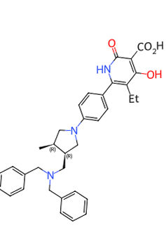 CCc1c(-c2ccc(N3C[C@@H](CN(Cc4ccccc4)Cc4ccccc4)[C@@H](C)C3)cc2)[nH]c(=O)c(C(=O)O)c1O